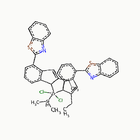 CCC1=Cc2c(-c3nc4ccccc4s3)cccc2[CH]1[Zr]([Cl])([Cl])([CH]1C(CC)=Cc2c(-c3nc4ccccc4s3)cccc21)[SiH](C)C